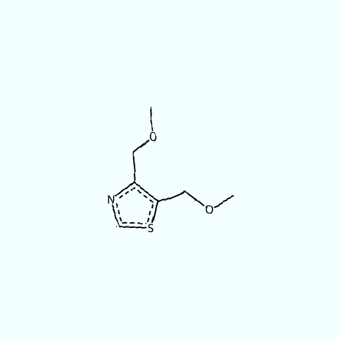 COCc1n[c]sc1COC